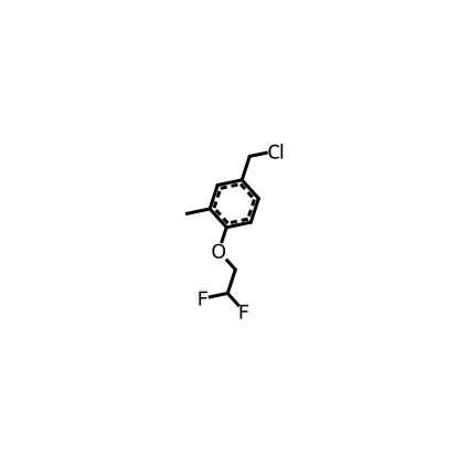 Cc1cc(CCl)ccc1OCC(F)F